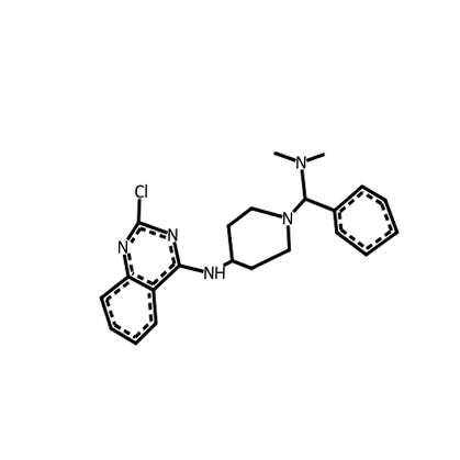 CN(C)C(c1ccccc1)N1CCC(Nc2nc(Cl)nc3ccccc23)CC1